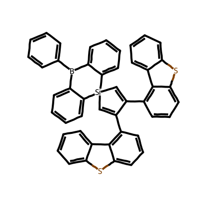 C1=C(c2cccc3sc4ccccc4c23)C(c2cccc3sc4ccccc4c23)=C[Si]12c1ccccc1B(c1ccccc1)c1ccccc12